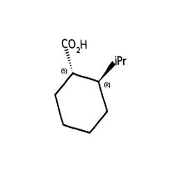 CC(C)[C@H]1CCCC[C@@H]1C(=O)O